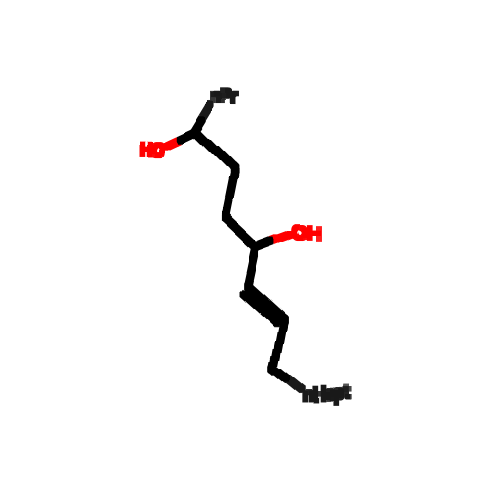 CCCCCCCCC=CC(O)CCC(O)CCC